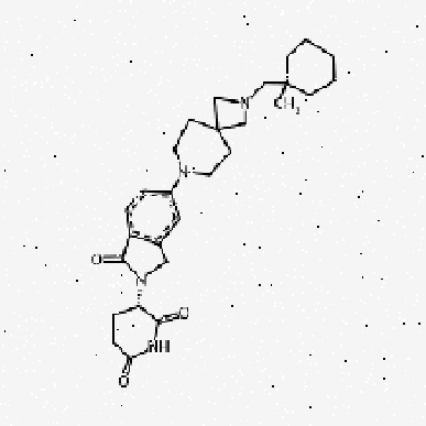 CC1(CN2CC3(CCN(c4ccc5c(c4)CN([C@H]4CCC(=O)NC4=O)C5=O)CC3)C2)CCCCC1